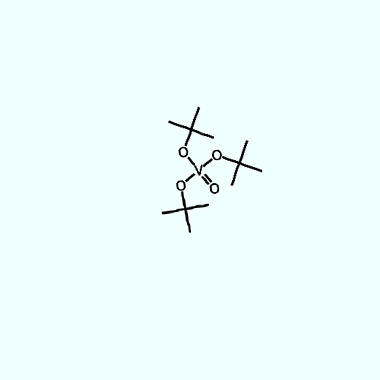 CC(C)(C)[O][V](=[O])([O]C(C)(C)C)[O]C(C)(C)C